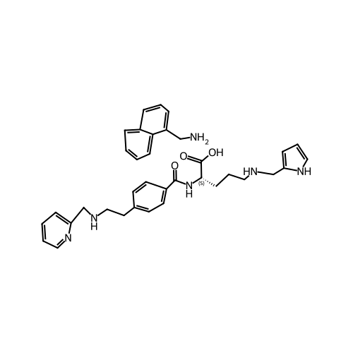 NCc1cccc2ccccc12.O=C(N[C@@H](CCCNCc1ccc[nH]1)C(=O)O)c1ccc(CCNCc2ccccn2)cc1